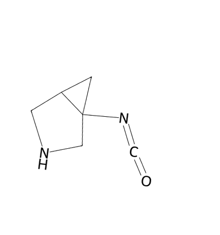 O=C=NC12CNCC1C2